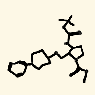 COC(=O)N1CCC(NC(=O)OC(C)(C)C)C1COC1CCC(c2ccccc2)CC1